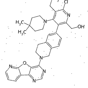 CCc1c(Cl)nc(CO)c(-c2ccc3c(c2)CCN(c2ncnc4c2oc2ncccc24)C3)c1N1CCC(C)(C)CC1